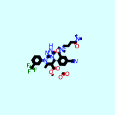 COC(=O)C1=C(C)N(c2cccc(C(F)(F)F)c2)c2n[nH]c(=O)n2[C@@H]1c1ccc(C#N)cc1C[N+](C)(C)CCCC(=O)N(C)C.O=C[O-]